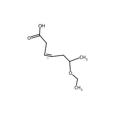 CCOC(C)C/C=C\CC(=O)O